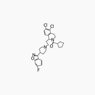 O=C(C1CCCC1)N1CCc2c(ccc(Cl)c2Cl)C1CCN1CCC(c2noc3cc(F)ccc23)CC1